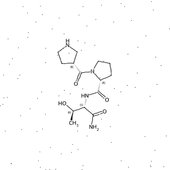 C[C@@H](O)[C@H](NC(=O)[C@H]1CCCN1C(=O)[C@@H]1CCNC1)C(N)=O